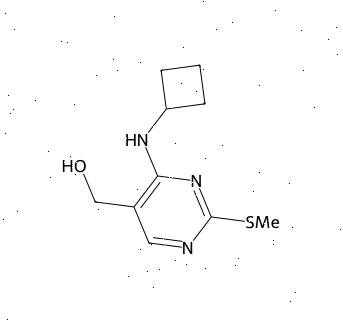 CSc1ncc(CO)c(NC2CCC2)n1